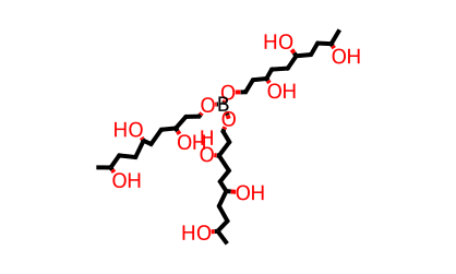 CC(O)CCC(O)CCC(O)CCOB(OCCC(O)CCC(O)CCC(C)O)OCCC(O)CCC(O)CCC(C)O